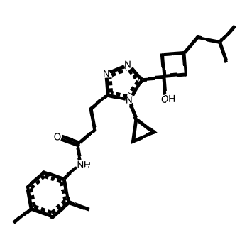 Cc1ccc(NC(=O)CCc2nnc(C3(O)CC(CC(C)C)C3)n2C2CC2)c(C)c1